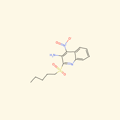 CCCCCS(=O)(=O)c1nc2ccccc2c([N+](=O)[O-])c1N